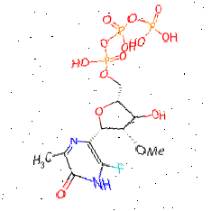 CO[C@H]1C(O)[C@@H](COP(=O)(O)OP(=O)(O)OP(=O)(O)O)O[C@H]1c1nc(C)c(=O)[nH]c1F